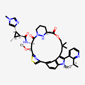 CCO[C@@H]1c2nc(cs2)-c2ccc3c(c2)c(c(-c2cccnc2[C@H](C)OC)n3CC)CC(C)(C)COC(=O)[C@@H]2CCCN(N2)C(=O)[C@H]1NC(=O)[C@H]1[C@H](C)[C@@H]1c1cn(C)cn1